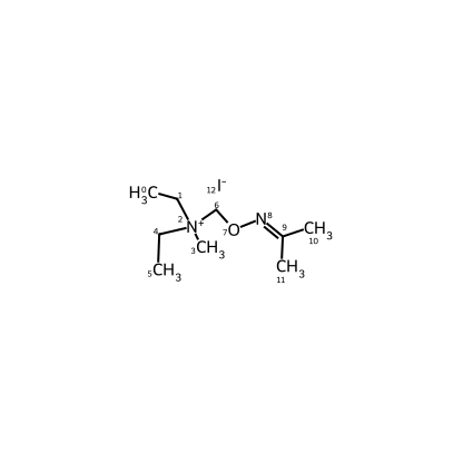 CC[N+](C)(CC)CON=C(C)C.[I-]